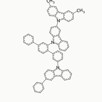 Cc1ccc2c(c1)c1cc(C)ccc1n2-c1ccc2c(c1)c1ccccc1n2-c1cc(-c2ccccc2)ccc1-c1cccc(-n2c3ccccc3c3cc(-c4ccccc4)ccc32)c1